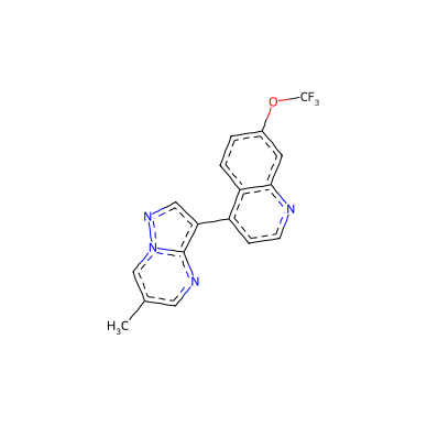 Cc1cnc2c(-c3ccnc4cc(OC(F)(F)F)ccc34)cnn2c1